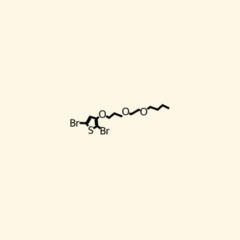 CCCCOCCOCCCOc1cc(Br)sc1Br